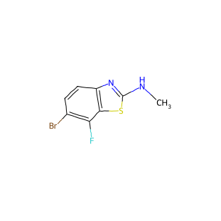 CNc1nc2ccc(Br)c(F)c2s1